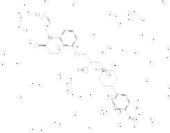 C=CCN1C(=O)CCc2c(OCC(O)CN3CCC(c4ccc(C(C)=O)cc4)CC3)cccc21